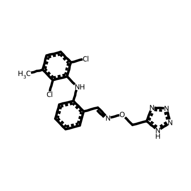 Cc1ccc(Cl)c(Nc2ccccc2C=NOCc2nnn[nH]2)c1Cl